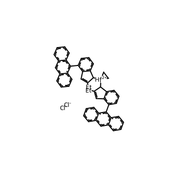 CCC1=Cc2c(-c3c4ccccc4cc4ccccc34)cccc2[CH]1[Hf+2]1([CH]2C(CC)=Cc3c(-c4c5ccccc5cc5ccccc45)cccc32)[CH2][CH2]1.[Cl-].[Cl-]